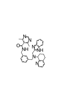 Cc1ncnc(C)c1C(=O)NCc1cccc(CN(Cc2nc3ccccc3[nH]2)C2CCCc3cccnc32)c1